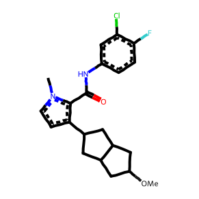 COC1CC2CC(c3ccn(C)c3C(=O)Nc3ccc(F)c(Cl)c3)CC2C1